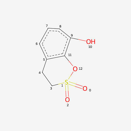 O=S1(=O)CCc2cccc(O)c2O1